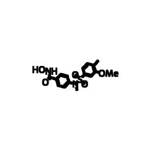 COc1cc(S(=O)(=O)N(C)c2ccc(C(=O)NO)cc2)ccc1C